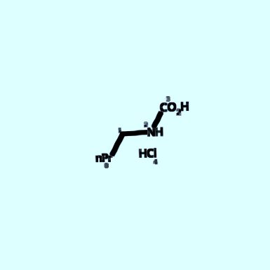 CCCCNC(=O)O.Cl